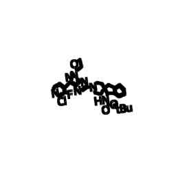 CC(C)(C)OC(=O)NC1c2ccccc2CC12CCN(c1cnc3c(-c4ccnc(Cl)c4F)nn(C4CCO4)c3n1)CC2